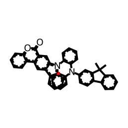 CC1(C)c2ccccc2-c2ccc(N(c3ccccc3)c3ccccc3-n3c4ccccc4c4cc5c(cc43)c(=O)oc3ccccc35)cc21